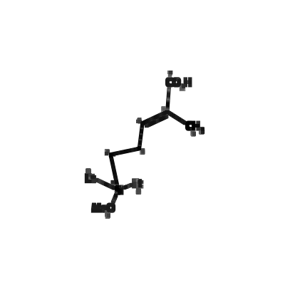 CC[Si]([CH]CC=C(C)C(=O)O)(CC)OC